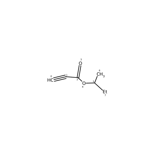 C#CC(=O)OC(C)CC